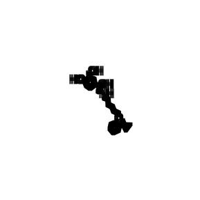 OCc1cc(C(O)CNCCCCCCOCC2(c3ccccc3)CC2)ccc1O